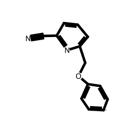 N#Cc1cccc(COc2cc[c]cc2)n1